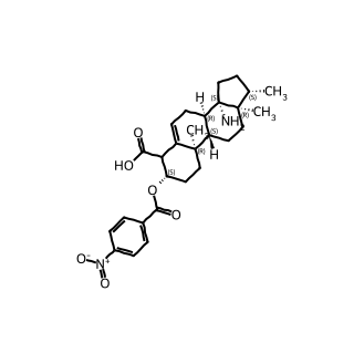 C[C@H]1CC[C@]2(N)[C@@H]3CC=C4C(C(=O)O)[C@@H](OC(=O)c5ccc([N+](=O)[O-])cc5)CC[C@]4(C)[C@H]3CC[C@]12C